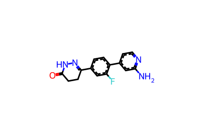 Nc1cc(-c2ccc(C3=NNC(=O)CC3)cc2F)ccn1